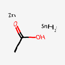 CC(=O)O.[SnH2].[Zn]